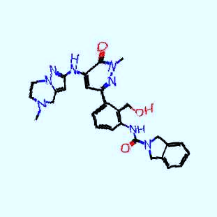 CN1CCn2nc(Nc3cc(-c4cccc(NC(=O)N5Cc6ccccc6C5)c4CO)nn(C)c3=O)cc2C1